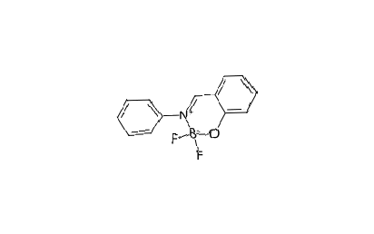 F[B-]1(F)Oc2ccccc2C=[N+]1c1ccccc1